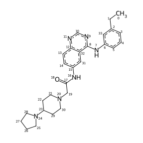 CCc1cccc(Nc2ncnc3ccc(NC(=O)CN4CCC(N5CCCC5)CC4)cc23)c1